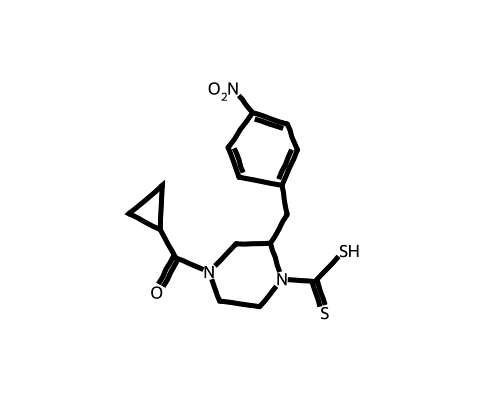 O=C(C1CC1)N1CCN(C(=S)S)C(Cc2ccc([N+](=O)[O-])cc2)C1